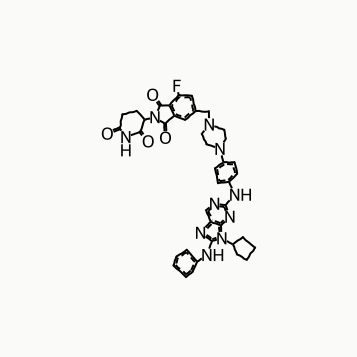 O=C1CCC(N2C(=O)c3cc(CN4CCN(c5ccc(Nc6ncc7nc(Nc8ccccc8)n(C8CCCC8)c7n6)cc5)CC4)cc(F)c3C2=O)C(=O)N1